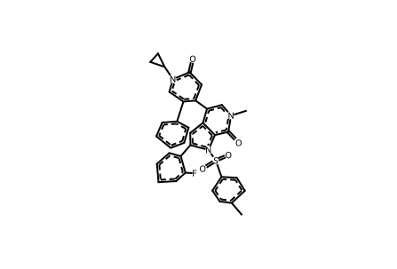 Cc1ccc(S(=O)(=O)n2c(-c3ccccc3F)cc3c(-c4cc(=O)n(C5CC5)cc4-c4ccccc4)cn(C)c(=O)c32)cc1